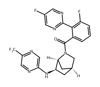 O=C(c1cccc(F)c1-c1ncc(F)cn1)N1C[C@H]2C[C@@H](Nc3cnc(C(F)(F)F)cn3)[C@@H]1C2